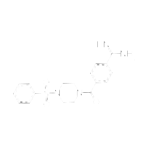 N=C(N)c1ccc(C(=O)N2CCN(S(=O)(=O)c3ccccc3)CC2)cc1